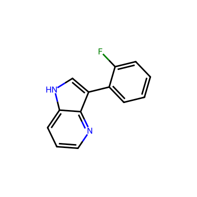 Fc1ccccc1-c1c[nH]c2cccnc12